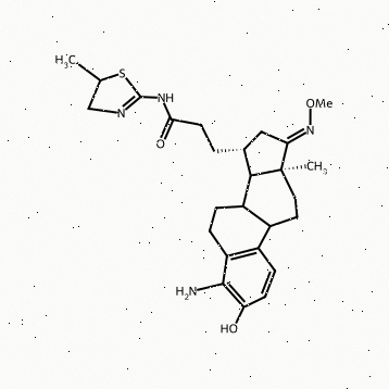 CO/N=C1\C[C@@H](CCC(=O)NC2=NCC(C)S2)C2C3CCc4c(ccc(O)c4N)C3CC[C@]12C